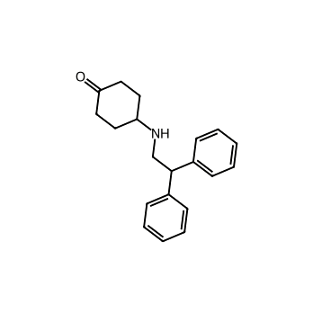 O=C1CCC(NCC(c2ccccc2)c2ccccc2)CC1